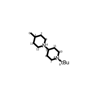 CC1CCN(C2CCN(C(C)(C)C)CC2)CC1